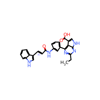 CCc1nc(-c2cccc(NC(=O)/C=C/c3c[nH]c4ccccc34)c2)c2c(C(=O)O)c[nH]c2n1